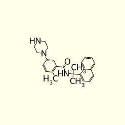 Cc1ccc(N2CCNCC2)cc1C(=O)NC(C)(C)c1cccc2ccccc12